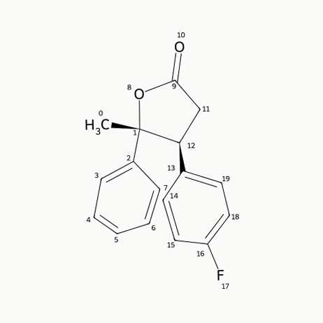 C[C@@]1(c2ccccc2)OC(=O)C[C@H]1c1ccc(F)cc1